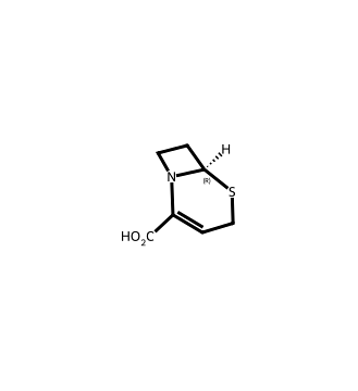 O=C(O)C1=CCS[C@@H]2CCN12